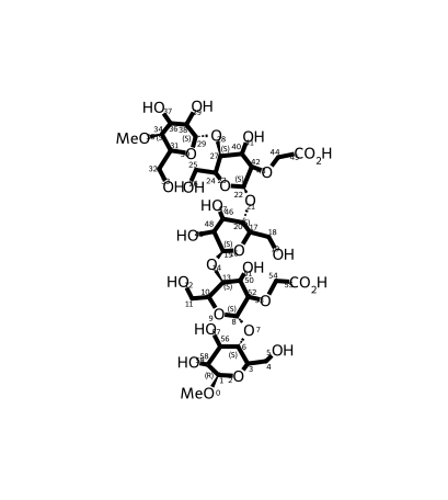 CO[C@@H]1OC(CO)[C@@H](O[C@@H]2OC(CO)[C@@H](O[C@@H]3OC(CO)[C@@H](O[C@@H]4OC(CO)[C@@H](O[C@@H]5OC(CO)[C@@H](OC)C(O)C5O)C(O)C4OCC(=O)O)C(O)C3O)C(O)C2OCC(=O)O)C(O)C1O